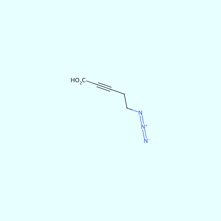 [N-]=[N+]=NCCC#CC(=O)O